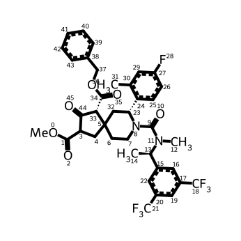 COC(=O)C1CC2(CCN(C(=O)N(C)[C@H](C)c3cc(C(F)(F)F)cc(C(F)(F)F)c3)[C@@H](c3ccc(F)cc3C)C2)[C@@H](C(=O)OCc2ccccc2)C1=O